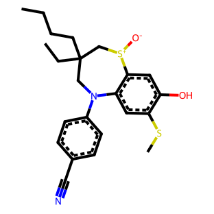 CCCCC1(CC)CN(c2ccc(C#N)cc2)c2cc(SC)c(O)cc2[S+]([O-])C1